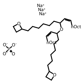 CCCCCCCC/C=C\C(CCCCCCC1CCO1)OC(/C=C\CCCCCCCC)CCCCCCC1CCO1.O=P([O-])([O-])[O-].[Na+].[Na+].[Na+]